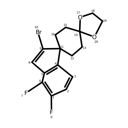 Fc1ccc2c(c1F)C=C(Br)C21CCC2(CC1)OCCO2